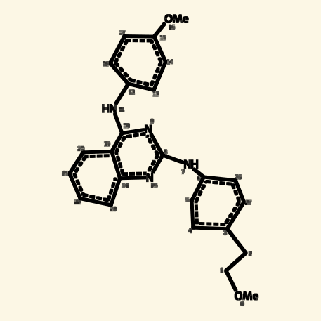 COCCc1ccc(Nc2nc(Nc3ccc(OC)cc3)c3ccccc3n2)cc1